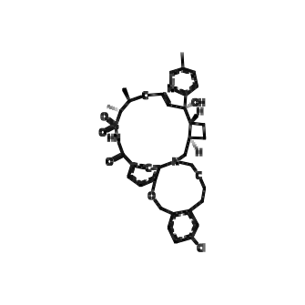 Cc1ccc([C@]2(O)/C=C/C[C@H](C)[C@@H](C)S(=O)(=O)NC(=O)c3ccc4c(c3)N(CCCCc3cc(Cl)ccc3CO4)C[C@@H]3CC[C@H]32)nc1